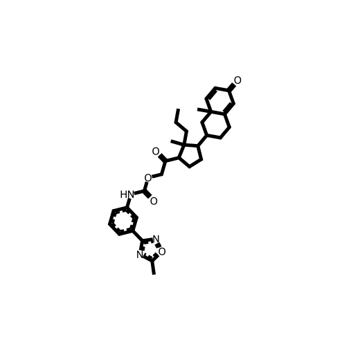 CCCC1(C)C(C(=O)COC(=O)Nc2cccc(-c3noc(C)n3)c2)CCC1C1CCC2=CC(=O)C=CC2(C)C1